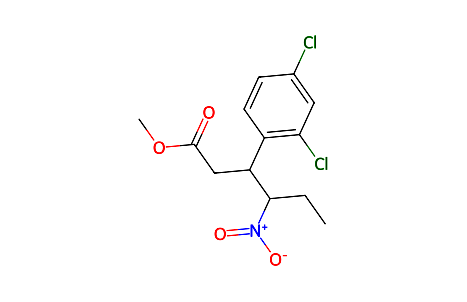 CCC(C(CC(=O)OC)c1ccc(Cl)cc1Cl)[N+](=O)[O-]